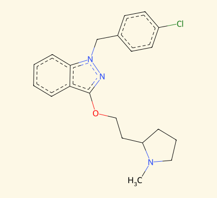 CN1CCCC1CCOc1nn(Cc2ccc(Cl)cc2)c2ccccc12